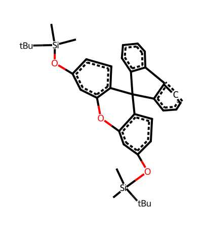 CC(C)(C)[Si](C)(C)Oc1ccc2c(c1)Oc1cc(O[Si](C)(C)C(C)(C)C)ccc1C21c2ccccc2-c2ccccc21